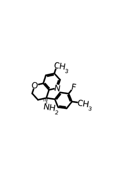 Cc1cnc2c(c1)OCC[C@]2(N)c1ccc(C)c(F)c1